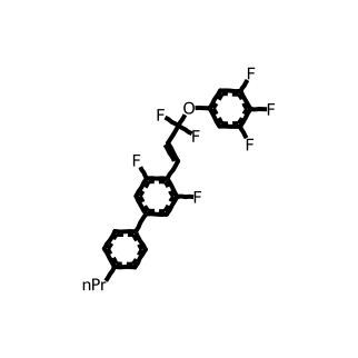 CCCc1ccc(-c2cc(F)c(/C=C/C(F)(F)Oc3cc(F)c(F)c(F)c3)c(F)c2)cc1